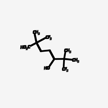 CC(CCC(O)C(C)(C)C(F)(F)F)(C(=O)O)C(F)(F)F